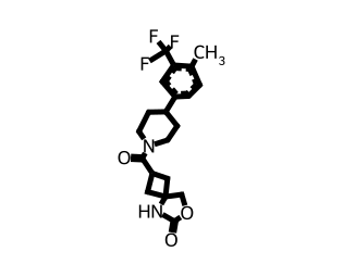 Cc1ccc(C2CCN(C(=O)C3CC4(COC(=O)N4)C3)CC2)cc1C(F)(F)F